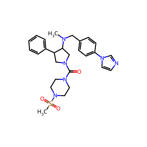 CN(Cc1ccc(-n2ccnc2)cc1)C1CN(C(=O)N2CCN(S(C)(=O)=O)CC2)CC1c1ccccc1